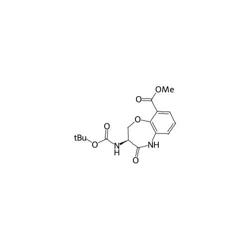 COC(=O)c1cccc2c1OC[C@H](NC(=O)OC(C)(C)C)C(=O)N2